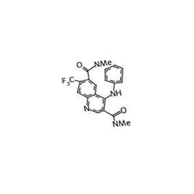 CNC(=O)c1cc2c(Nc3ccccc3)c(C(=O)NC)cnc2cc1C(F)(F)F